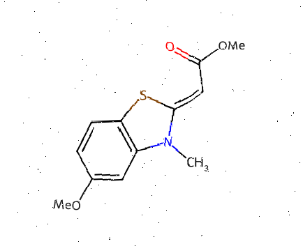 COC(=O)/C=C1\Sc2ccc(OC)cc2N1C